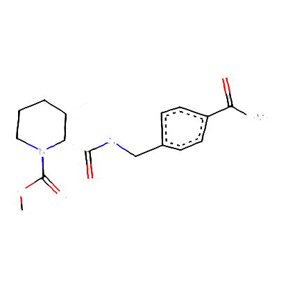 COC(=O)c1ccc(CNC(=O)[C@H]2[C@@H](C)CCCN2C(=O)OC(C)(C)C)cc1